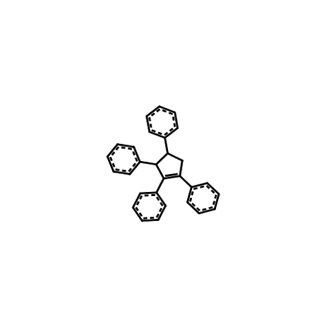 c1ccc(C2=C(c3ccccc3)C(c3ccccc3)C(c3ccccc3)C2)cc1